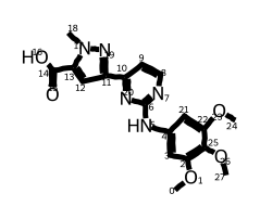 COc1cc(Nc2nccc(-c3cc(C(=O)O)n(C)n3)n2)cc(OC)c1OC